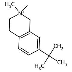 CC(C)(C)c1ccc2c(c1)C[N+](C)(I)CC2